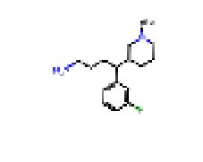 CC(C)(C)N1CCCC(C(CCCN)c2cccc(F)c2)C1